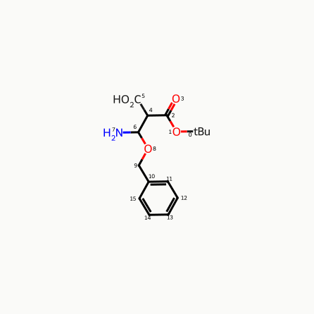 CC(C)(C)OC(=O)C(C(=O)O)C(N)OCc1ccccc1